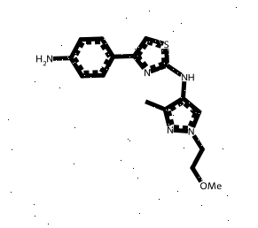 COCCn1cc(Nc2nc(-c3ccc(N)cc3)cs2)c(C)n1